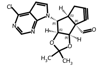 CC1(C)O[C@H]2[C@H](n3ccc4c(Cl)ncnc43)[C@H]3CC#C[C@@]3(C=O)[C@H]2O1